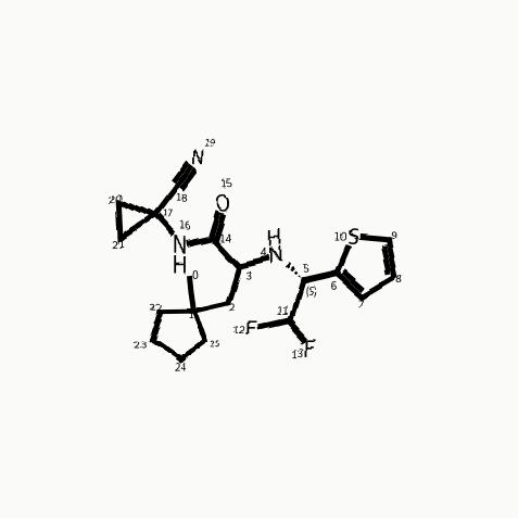 CC1(CC(N[C@H](c2cccs2)C(F)F)C(=O)NC2(C#N)CC2)CCCC1